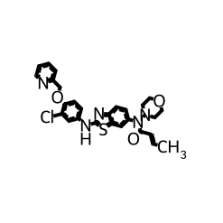 C/C=C/C(=O)N(c1ccc2nc(Nc3ccc(OCc4ccccn4)c(Cl)c3)sc2c1)N1CCOCC1